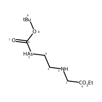 CCOC(=O)CNCC[AsH]C(=O)OC(C)(C)C